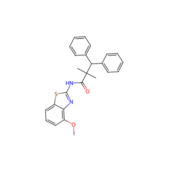 COc1cccc2sc(NC(=O)C(C)(C)C(c3ccccc3)c3ccccc3)nc12